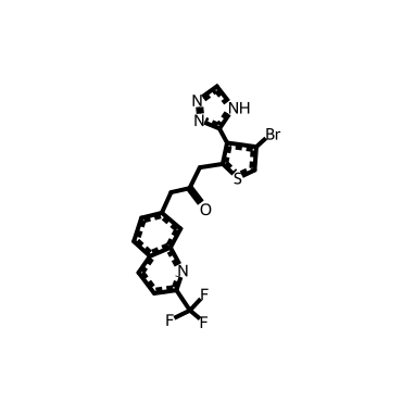 O=C(Cc1ccc2ccc(C(F)(F)F)nc2c1)Cc1scc(Br)c1-c1nnc[nH]1